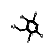 NCc1c(O)c(Cl)cc(Cl)c1Cl